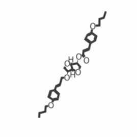 CCCCOc1ccc(/C=C/CO[C@@H]2CO[C@H]3[C@@H]2OC[C@H]3OC(=O)/C=C/c2ccc(OCCCC)cc2)cc1